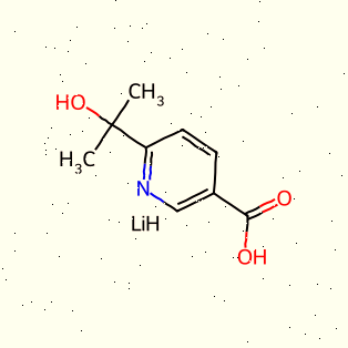 CC(C)(O)c1ccc(C(=O)O)cn1.[LiH]